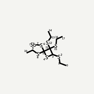 CCSC1SC([S][Sb])(SCC)C1(SCC)SCC